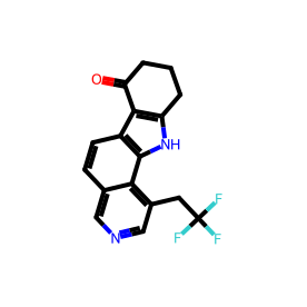 O=C1CCCc2[nH]c3c(ccc4cncc(CC(F)(F)F)c43)c21